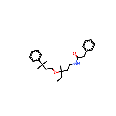 CCC(C)(CCNC(=O)Cc1ccccc1)OCCC(C)(C)c1ccccc1